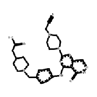 N#CCN1CCN(c2nc(Nc3ccc(CN4CCC(CC(=O)O)CC4)cc3)c3c(=O)[nH]ncc3n2)CC1